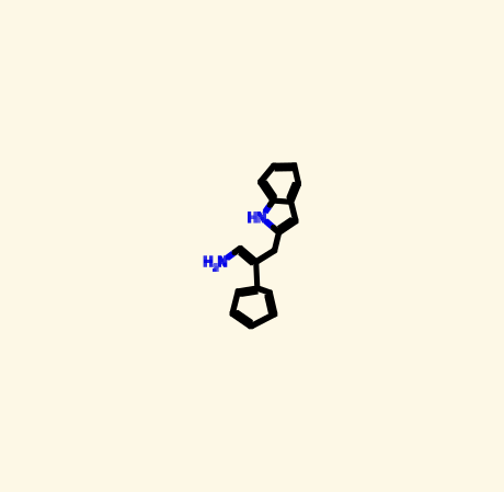 NC=C(Cc1cc2ccccc2[nH]1)c1ccccc1